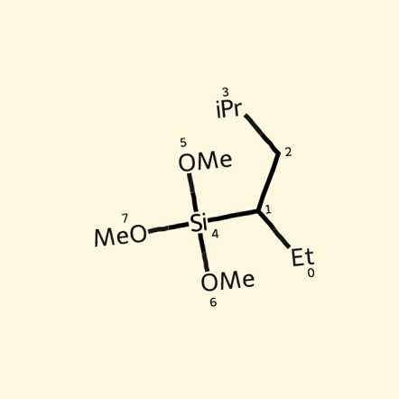 CCC(CC(C)C)[Si](OC)(OC)OC